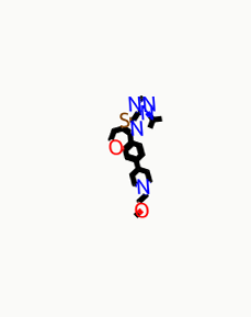 COCCN1CCC(c2ccc3c(c2)OCCc2sc(-c4ncnn4C(C)C)nc2-3)CC1